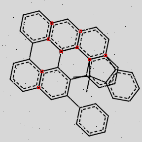 CC1(C)c2ccccc2-c2cccc(N(c3ccccc3-c3ccccc3)c3cccc(-c4ccccc4)c3-c3ccccc3-c3ccccc3)c21